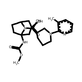 COC(=O)NC12CCC(CC(O)(C3CCCN(c4ncccc4C)C3)C1)N2C(=O)O